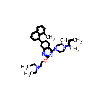 C=CC(=C)N1CCN(c2nc(OCCN(CC)CC)nc3c2CCC(c2cccc4cccc(C)c24)C3)C[C@@H]1C